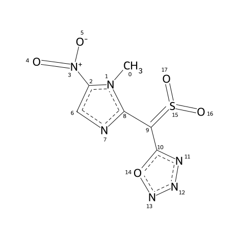 Cn1c([N+](=O)[O-])cnc1C(c1nnno1)=S(=O)=O